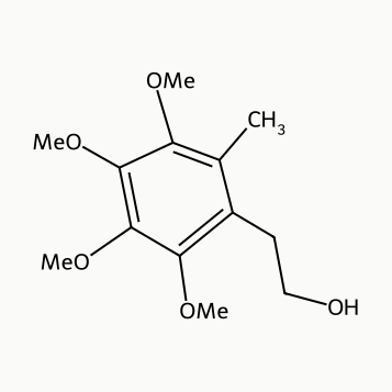 COc1c(C)c(CCO)c(OC)c(OC)c1OC